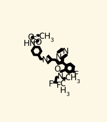 CCS(=O)(=O)NC1CCC(CN2CC(c3cc(-c4ccc(F)cc4C(=O)N(CC(F)F)C(C)C)c4cnccn34)C2)CC1